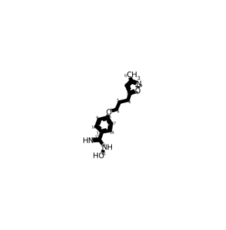 Cc1cc(CCCOc2ccc(C(=N)NO)cc2)on1